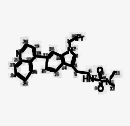 CC(C)Cn1cc(CCNS(=O)(=O)N(C)C)c2ccc(-c3ccnc4ccccc34)cc21